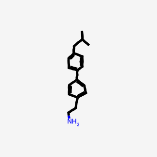 CC(C)Cc1ccc(-c2ccc(CCN)cc2)cc1